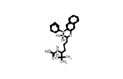 CC(C)(C)C(CCCC1Oc2cc3ccccc3cc2N(c2ccccc2)S1(O)O)NC(=O)O